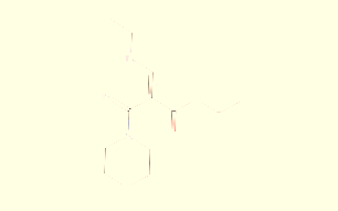 CCN/C=C(\C(=N)N1CCOCC1)C(=O)OCC